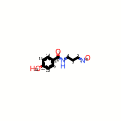 O=NCCCNC(=O)c1ccc(O)cc1